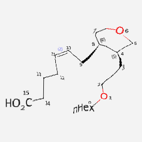 CCCCCCOCC[C@@H]1COC[C@@H]1C/C=C\CCCC(=O)O